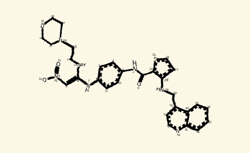 O=C(Nc1ccc(NC(=C[N+](=O)[O-])NCCN2CCOCC2)cc1)c1sccc1NCc1ccnc2ccccc12